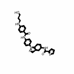 O=C(Nc1ccc(-n2ncc3cc(NC(=O)c4cccs4)ccc32)cc1)c1ccc(NCCCO)cc1